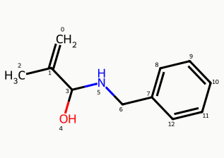 C=C(C)C(O)NCc1ccccc1